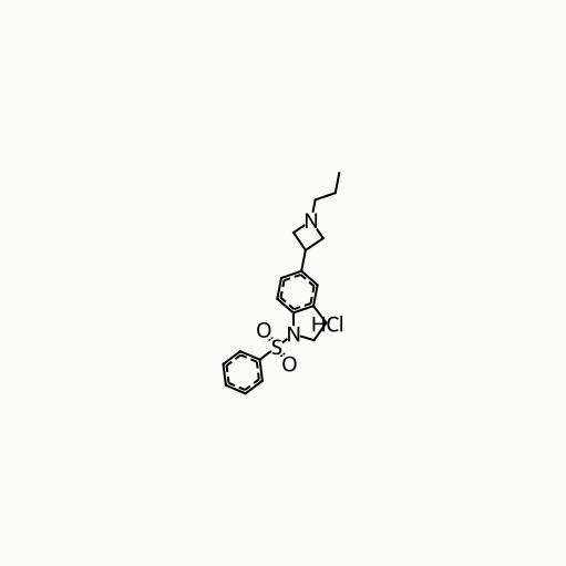 CCCN1CC(c2ccc3c(c2)CCN3S(=O)(=O)c2ccccc2)C1.Cl